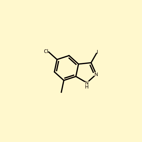 Cc1cc(Cl)cc2c(I)n[nH]c12